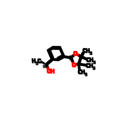 C[C@@H](O)c1cccc(B2OC(C)(C)C(C)(C)O2)c1